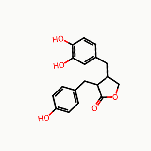 O=C1OCC(Cc2ccc(O)c(O)c2)C1Cc1ccc(O)cc1